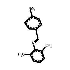 Cc1cccc(C)c1/N=C/c1ccc([N+](=O)[O-])cc1